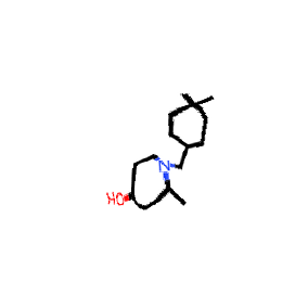 CC1CC(O)CCN1CC1CCC(C)(C)CC1